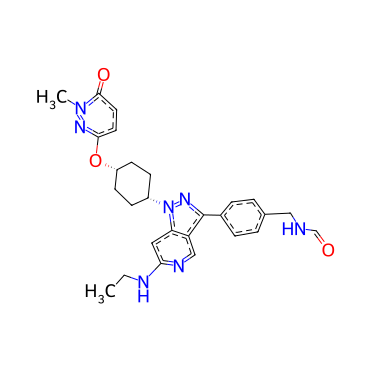 CCNc1cc2c(cn1)c(-c1ccc(CNC=O)cc1)nn2[C@H]1CC[C@@H](Oc2ccc(=O)n(C)n2)CC1